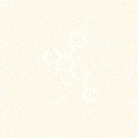 CN1CCN(C(=O)c2ccsc2)C1=NC(c1ccccc1)c1ccccc1